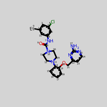 CCc1cc(Cl)cc(NC(=O)N2CCN(c3ccccc3OCc3ccnc(N)n3)CC2)c1